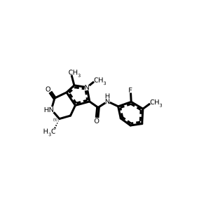 Cc1cccc(NC(=O)c2c3c(c(C)n2C)C(=O)N[C@@H](C)C3)c1F